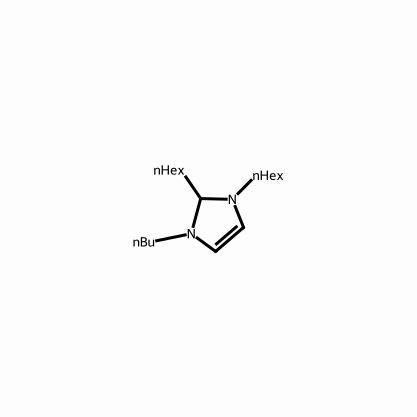 CCCCCCC1N(CCCC)C=CN1CCCCCC